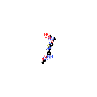 CN1C(c2ccc(NC(=O)Nc3cc(C(C)(C)C)on3)cc2)=CN2c3ccc(OCC4(NC[C@H](O)CO)CC4)nc3SC12